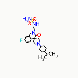 CC(C)C1CCC(N2CCC3(CC2)C(=O)N(CCNS(N)(=O)=O)Cc2cc(F)ccc23)CC1